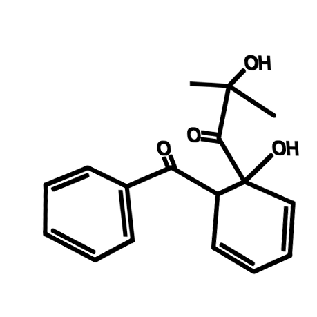 CC(C)(O)C(=O)C1(O)C=CC=CC1C(=O)c1ccccc1